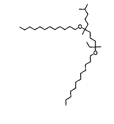 CCCCCCCCCCCCOC(C)(CC)CCCC(C)(CCCC(C)C)OCCCCCCCCCCCC